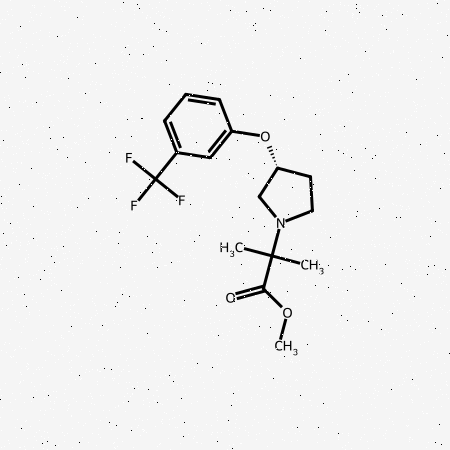 COC(=O)C(C)(C)N1CC[C@@H](Oc2cccc(C(F)(F)F)c2)C1